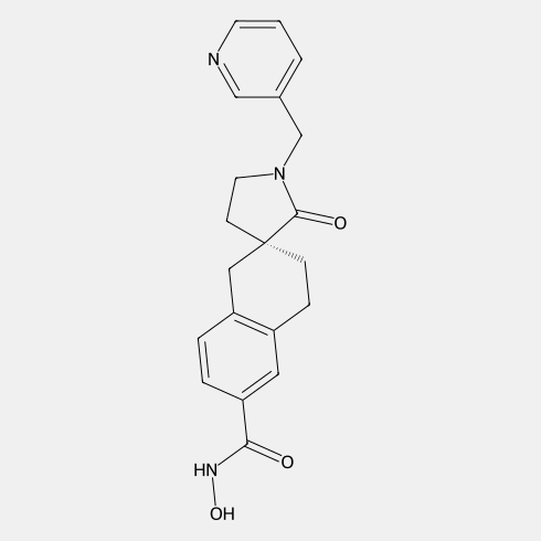 O=C(NO)c1ccc2c(c1)CC[C@@]1(CCN(Cc3cccnc3)C1=O)C2